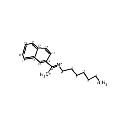 CCCCCCCN=C(C)c1ccc2c[c]ccc2c1